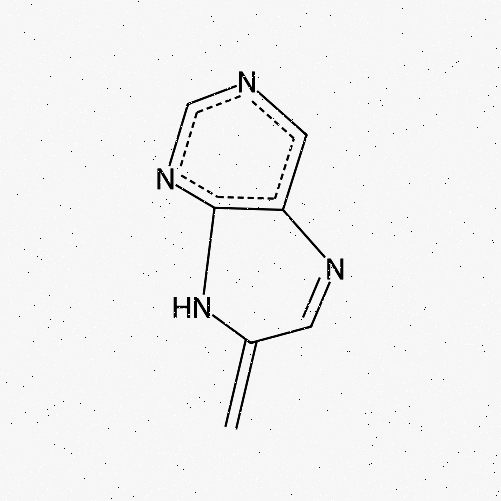 C=C1C=Nc2cncnc2N1